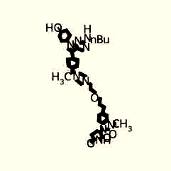 CCCCNc1ncc2c(-c3ccc([C@@H](C)N4CCN(CCCOCCCc5ccc6c(c5)n(C)c(=O)n6C5CCC(=O)NC5=O)CC4)cc3)cn([C@H]3CC[C@H](O)CC3)c2n1